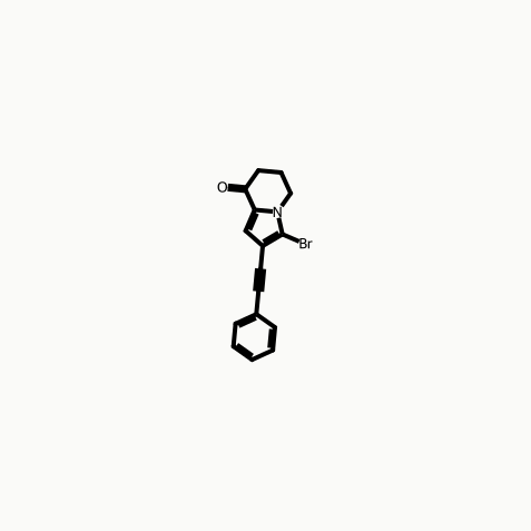 O=C1CCCn2c1cc(C#Cc1ccccc1)c2Br